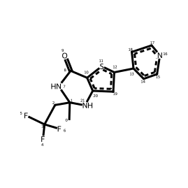 CC1(CC(F)(F)F)NC(=O)c2sc(-c3ccncc3)cc2N1